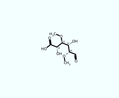 CO[C@@H]([C@H](O)[C@H](C=O)OC)[C@H](O)C(=O)O